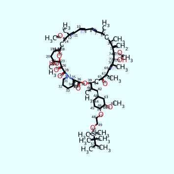 C=C1[C@H](C)C[C@H](C)/C=C/C=C/C=C(\C)[C@@H](OC)C[C@@H]2CC[C@@H](C)[C@@](O)(O2)C(=O)C(=O)N2CCCC[C@H]2C(=O)O[C@H]([C@H](C)C[C@@H]2CC[C@@H](OCCO[Si](C)(C)C(C)(C)C(C)C)[C@H](OC)C2)CC(=O)[C@H](C)/C=C(\C)[C@@H](O)[C@H]1OC